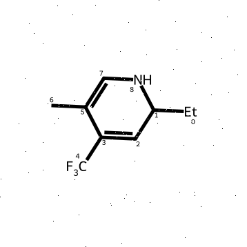 CCC1C=C(C(F)(F)F)C(C)=CN1